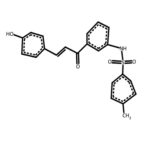 Cc1ccc(S(=O)(=O)Nc2cccc(C(=O)/C=C/c3ccc(O)cc3)c2)cc1